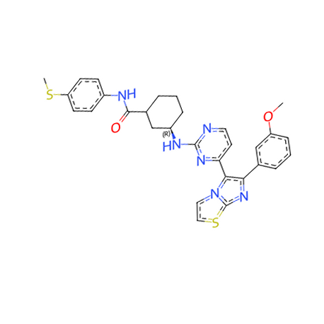 COc1cccc(-c2nc3sccn3c2-c2ccnc(N[C@@H]3CCCC(C(=O)Nc4ccc(SC)cc4)C3)n2)c1